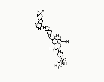 CNS(=O)(=O)N1CCN([C@@H](C)Cn2c(C#N)cc3c(C)c(CN4CCC5(CCN(c6ncnc7sc(CC(F)(F)F)cc67)C5)C4)ccc32)CC1